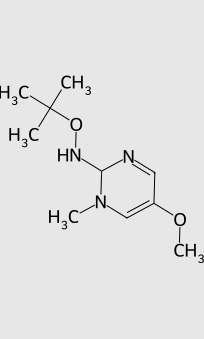 COC1=CN(C)C(NOC(C)(C)C)N=C1